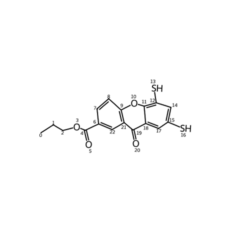 CCCOC(=O)c1ccc2oc3c(S)cc(S)cc3c(=O)c2c1